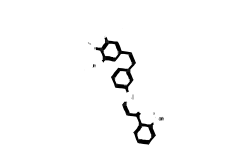 COc1cc(/C=C\c2cccc(N/C=C\C(=O)c3ccccc3[N+](=O)[O-])c2)cc(OC)c1OC